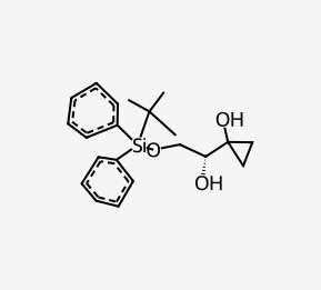 CC(C)(C)[Si](OC[C@@H](O)C1(O)CC1)(c1ccccc1)c1ccccc1